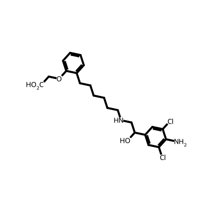 Nc1c(Cl)cc(C(O)CNCCCCCCc2ccccc2OCC(=O)O)cc1Cl